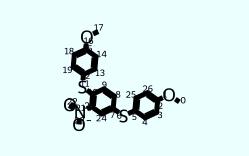 COc1ccc(Sc2ccc(Sc3ccc(OC)cc3)c([N+](=O)[O-])c2)cc1